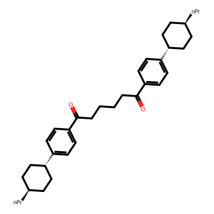 CCC[C@H]1CC[C@H](c2ccc(C(=O)CCCCC(=O)c3ccc([C@H]4CC[C@H](CCC)CC4)cc3)cc2)CC1